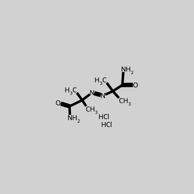 CC(C)(/N=N/C(C)(C)C(N)=O)C(N)=O.Cl.Cl